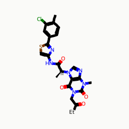 CCC(=O)Cn1c(=O)c2c(ncn2[C@@H](C)C(=O)Nc2csc(-c3ccc(C)c(Cl)c3)n2)n(C)c1=O